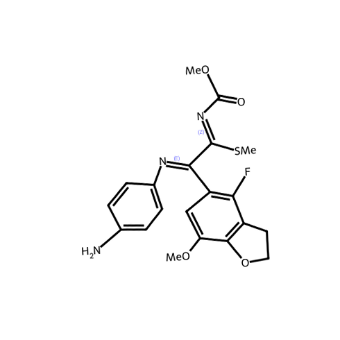 COC(=O)/N=C(SC)/C(=N/c1ccc(N)cc1)c1cc(OC)c2c(c1F)CCO2